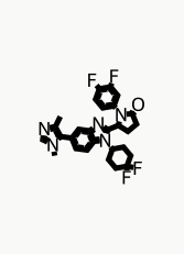 Cc1ncn(C)c1-c1ccc2c(c1)nc(C1CCC(=O)N1c1ccc(F)c(F)c1)n2C1CCC(F)(F)CC1